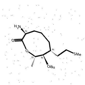 CSCC[C@H]1CCC[C@H](N)C(=O)O[C@@H](C)[C@@H]1OCC(C)C